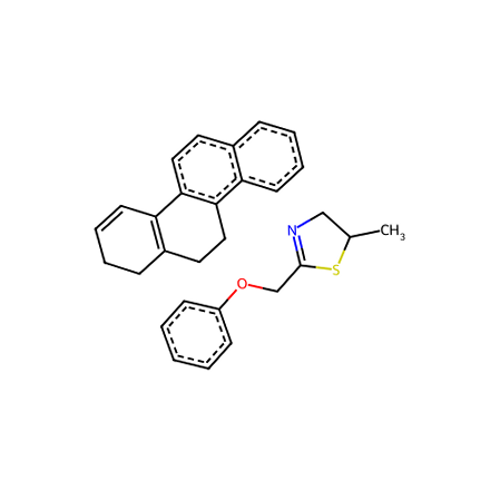 C1=CC2=C(CC1)CCc1c2ccc2ccccc12.CC1CN=C(COc2ccccc2)S1